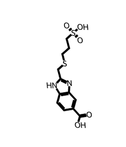 O=C(O)c1ccc2[nH]c(CSCCCS(=O)(=O)O)nc2c1